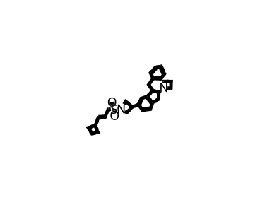 O=S(=O)(CC=CC1CCC1)N1CC(c2ccc3c(c2)C(Cc2ccccc2)C(N2CCC2)C3)C1